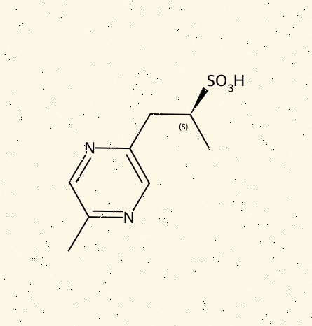 Cc1cnc(C[C@H](C)S(=O)(=O)O)cn1